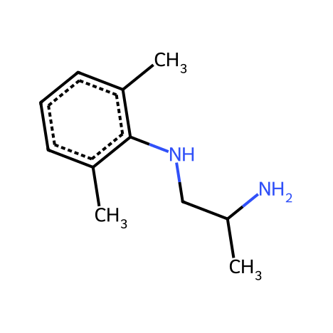 Cc1cccc(C)c1NCC(C)N